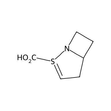 O=C(O)S1=CCC2CCN21